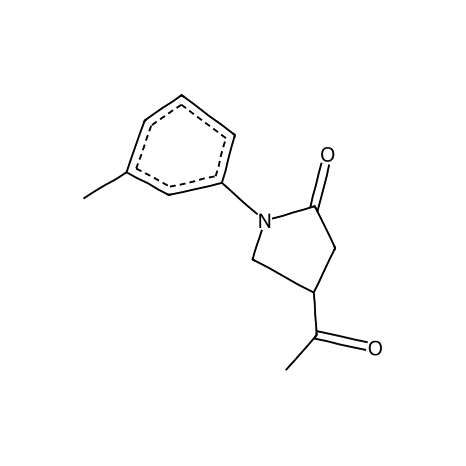 CC(=O)C1CC(=O)N(c2cccc(C)c2)C1